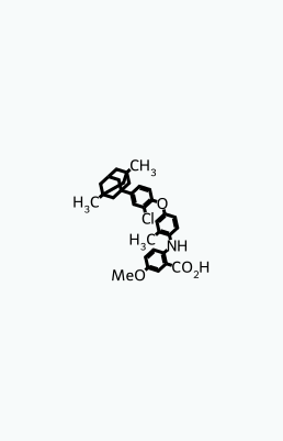 COc1ccc(Nc2ccc(Oc3ccc(C45CC6CC(C)(CC(C)(C6)C4)C5)cc3Cl)cc2C)c(C(=O)O)c1